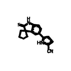 N#Cc1ccc(-c2ccc3c(c2)C2(CCCC2)C(=S)N3)[nH]1